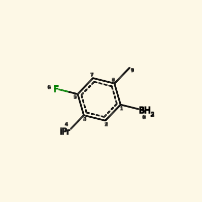 Bc1cc(C(C)C)c(F)cc1C